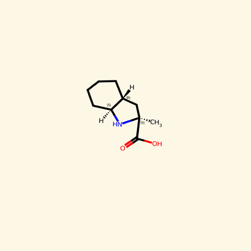 C[C@@]1(C(=O)O)C[C@H]2CCCC[C@@H]2N1